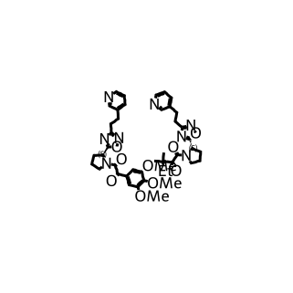 CCC(C)(C)C(=O)C(=O)N1CCC[C@H]1c1nc(CCc2cccnc2)no1.COc1cc(C(=O)C(=O)N2CCC[C@H]2c2nc(CCc3cccnc3)no2)cc(OC)c1OC